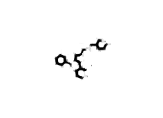 Cc1cc(-c2c(OCc3ccccc3)cc[nH]c2=O)sc1C(=O)NCc1cccnc1